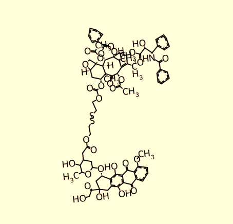 COc1cccc2c1C(=O)c1c(O)c3c(c(O)c1C2=O)CC(O)(C(=O)CO)C[C@@H]3OC1CC(CC(=O)OCCSSCCOC(=O)O[C@H]2C[C@H]3OC[C@@]3(OC(C)=O)[C@H]3[C@H](OC(=O)c4ccccc4)[C@]4(O)C[C@H](OC(=O)[C@H](O)[C@@H](NC(=O)c5ccccc5)c5ccccc5)C(C)=C([C@@H](OC(C)=O)C(=O)[C@]23C)C4(C)C)C(O)C(C)O1